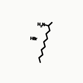 Br.CCCCCCCCCC(C)N